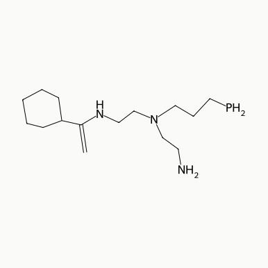 C=C(NCCN(CCN)CCCP)C1CCCCC1